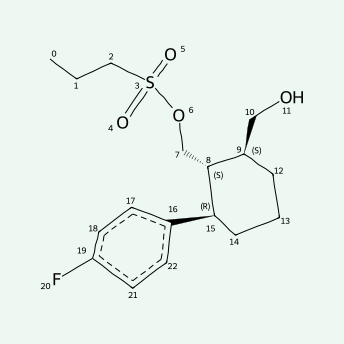 CCCS(=O)(=O)OC[C@@H]1[C@@H](CO)CCC[C@H]1c1ccc(F)cc1